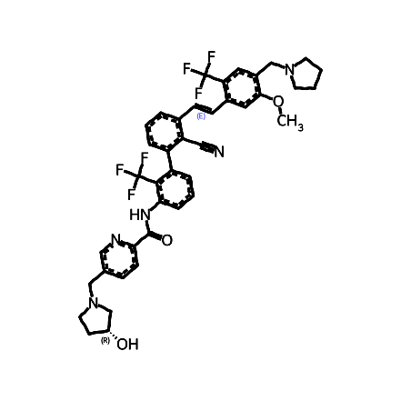 COc1cc(/C=C/c2cccc(-c3cccc(NC(=O)c4ccc(CN5CC[C@@H](O)C5)cn4)c3C(F)(F)F)c2C#N)c(C(F)(F)F)cc1CN1CCCC1